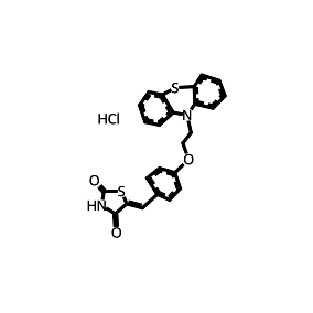 Cl.O=C1NC(=O)C(=Cc2ccc(OCCN3c4ccccc4Sc4ccccc43)cc2)S1